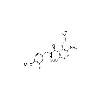 COc1ccc(CNC(=O)c2c(OCC(C)C)ccc(N)c2OCC2CC2)cc1F